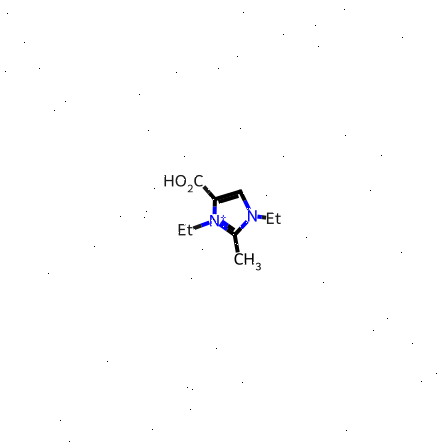 CCn1cc(C(=O)O)[n+](CC)c1C